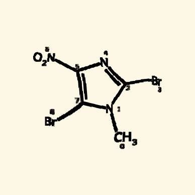 Cn1c(Br)nc([N+](=O)[O-])c1Br